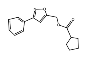 O=C(OCc1cc(-c2ccccc2)no1)C1CCCC1